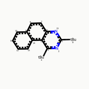 CC(C)(C)c1nc(C(C)(C)C)c2c(ccc3ccccc32)n1